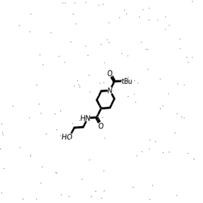 CC(C)(C)C(=O)N1CCC(C(=O)NCCO)CC1